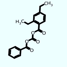 CCc1ccc(C(=O)OC(=O)OC(=O)c2ccccc2)c(CC)c1